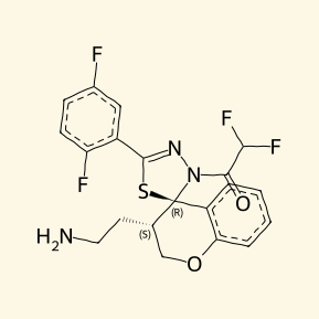 NCC[C@H]1COc2ccccc2[C@]12SC(c1cc(F)ccc1F)=NN2C(=O)C(F)F